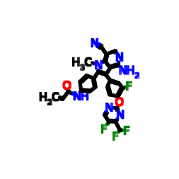 C=CC(=O)Nc1ccc(-c2c(-c3ccc(Oc4ncc(F)c(C(F)F)n4)c(F)c3)c3c(N)ncc(C#N)c3n2C)cc1